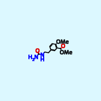 COC(=O)c1cc(CCNC(N)=O)ccc1OC